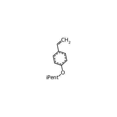 C=Cc1ccc(OC(C)CCC)cc1